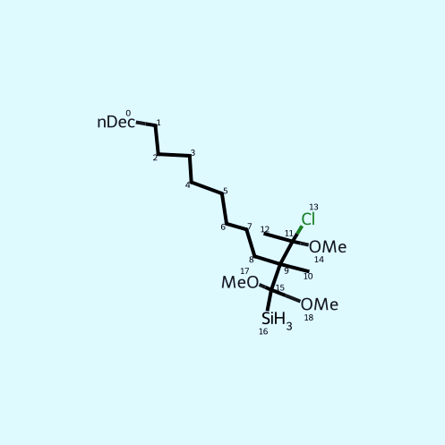 CCCCCCCCCCCCCCCCCCC(C)(C(C)(Cl)OC)C([SiH3])(OC)OC